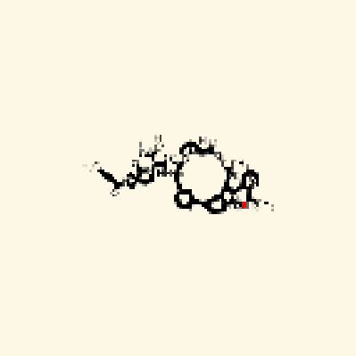 CC#CC(=O)N1CC2(CCN([C@H](C(=O)N[C@H]3Cc4cccc(c4)-c4ccc5c(c4)c(c(-c4cccnc4C(C)C)n5C)CC(C)(C)COC(=O)[C@@H]4CCCN(N4)C3=O)C(C)C)C2=O)C1